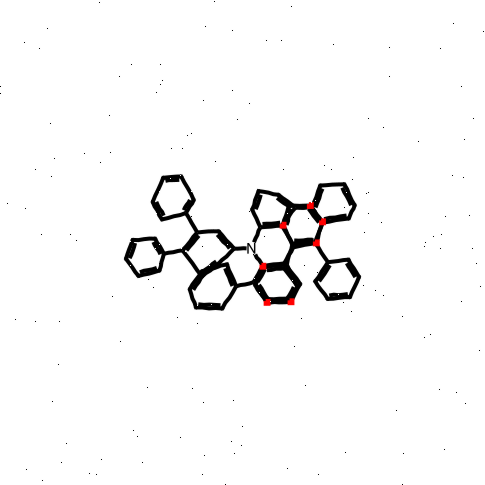 c1ccc(-c2ccc(N(c3c(-c4ccccc4)cccc3-c3ccccc3)c3cccc4c3c(-c3ccccc3)c(-c3ccccc3)c3ccccc34)cc2-c2ccccc2)cc1